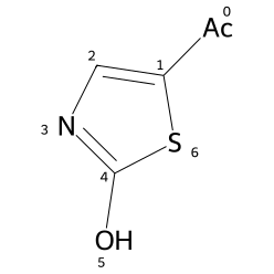 CC(=O)c1cnc(O)s1